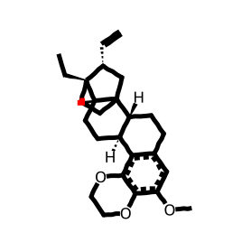 C=C[C@@H]1CC23CC[C@@]1(CC)[C@@]2(C)CC[C@@H]1c2c(cc(OC)c4c2OCCO4)CC[C@H]13